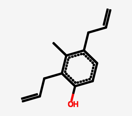 C=CCc1ccc(O)c(CC=C)c1C